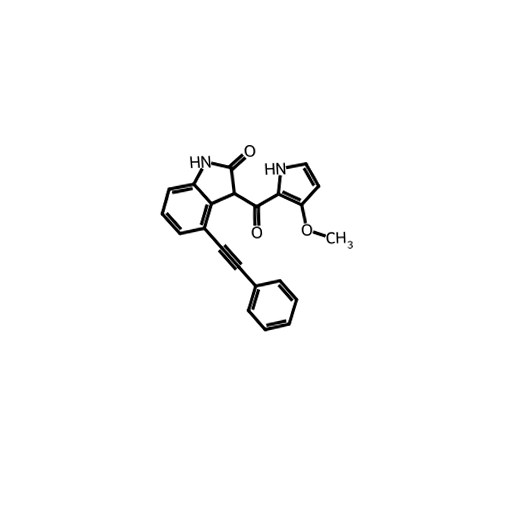 COc1cc[nH]c1C(=O)C1C(=O)Nc2cccc(C#Cc3ccccc3)c21